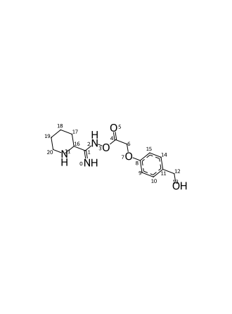 N=C(NOC(=O)COc1ccc(CO)cc1)C1CCCCN1